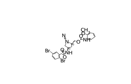 COc1ccccc1NC(=O)OC[C@H]1C[C@@H](NS(=O)(=O)c2cc(Br)ccc2Br)CN1C#N